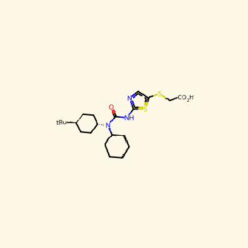 CC(C)(C)[C@H]1CC[C@H](N(C(=O)Nc2ncc(SCC(=O)O)s2)C2CCCCC2)CC1